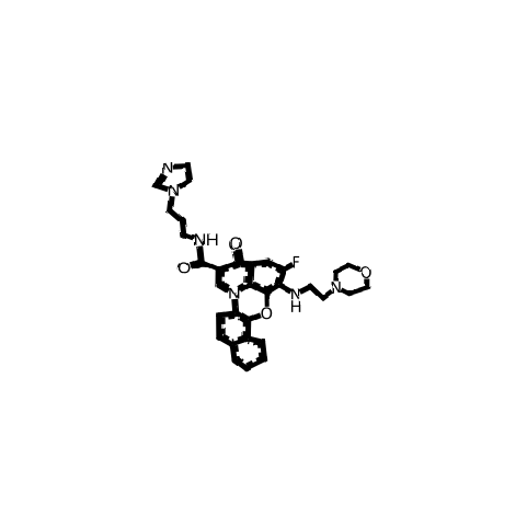 O=C(NCCCN1C=NCC1)c1cn2c3c(c(NCCN4CCOCC4)c(F)cc3c1=O)Oc1c-2ccc2ccccc12